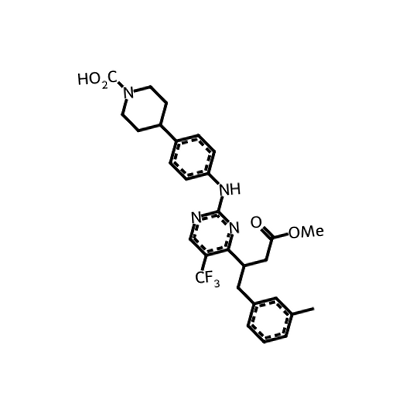 COC(=O)CC(Cc1cccc(C)c1)c1nc(Nc2ccc(C3CCN(C(=O)O)CC3)cc2)ncc1C(F)(F)F